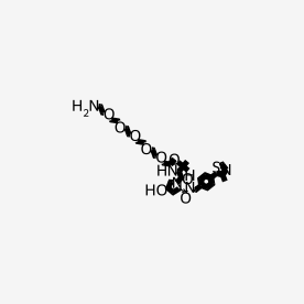 Cc1ncsc1-c1ccc(CNC(=O)[C@@H]2C[C@@H](O)CN2C(=O)C(NC(=O)COCCOCCOCCOCCOCCN)C(C)(C)C)cc1